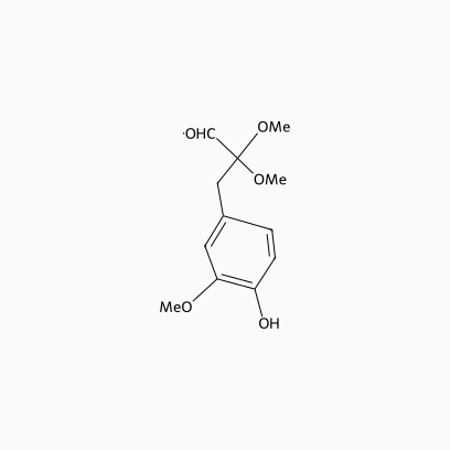 COc1cc(CC([C]=O)(OC)OC)ccc1O